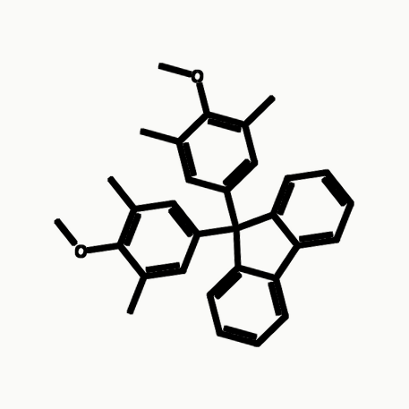 COc1c(C)cc(C2(c3cc(C)c(OC)c(C)c3)c3ccccc3-c3ccccc32)cc1C